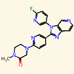 CN1CCN(c2ccc(-c3nc4ccncc4n3-c3ccc(F)nc3)cn2)CC1=O